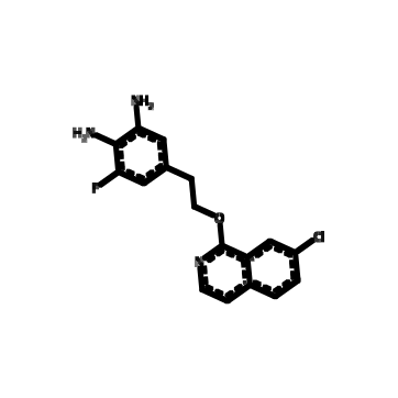 Nc1cc(CCOc2nccc3ccc(Cl)cc23)cc(F)c1N